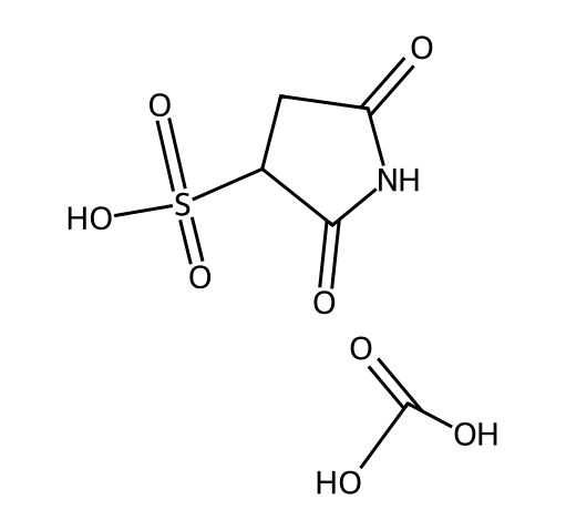 O=C(O)O.O=C1CC(S(=O)(=O)O)C(=O)N1